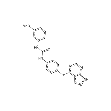 COc1cccc(NC(=O)Nc2ccc(Oc3ncnc4[nH]ncc34)cc2)c1